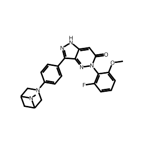 COc1cccc(F)c1-n1nc2c(-c3ccc(N4CC5CC(C4)N5C)cc3)n[nH]c2cc1=O